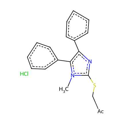 CC(=O)CSc1nc(-c2ccccc2)c(-c2ccccc2)n1C.Cl